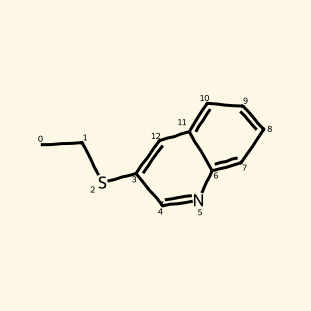 CCSc1[c]nc2ccccc2c1